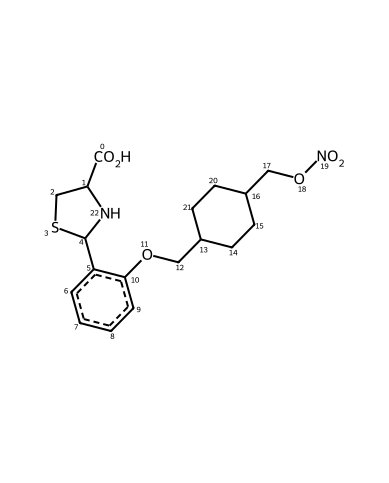 O=C(O)C1CSC(c2ccccc2OCC2CCC(CO[N+](=O)[O-])CC2)N1